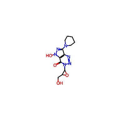 O=c1c2c(nnn1C1OC1CO)c(N1CCCCC1)nn2O